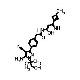 CC12CC(C(=N)/C=C(\O)NC(=O)Cc3ccc(-c4nn(C(C)(C)CO)c(N)c4C#N)cc3)(C1)C2